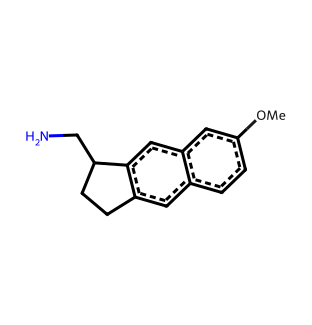 COc1ccc2cc3c(cc2c1)C(CN)CC3